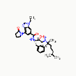 CCn1cnc2c(N3CCCC3=O)cc(C(=O)N[C@@H](Cc3ccccc3)[C@@H](O)CNC(C)(C)CCCC(C)C)cc21